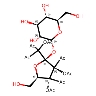 CC(=O)OC(C(C)=O)(C(C)=O)[C@@]1(O[C@H]2O[C@H](CO)[C@@H](O)[C@H](O)[C@H]2O)O[C@H](CO)[C@](OC(C)=O)(C(C)=O)[C@@]1(OC(C)=O)C(C)=O